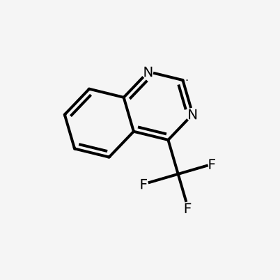 FC(F)(F)c1n[c]nc2ccccc12